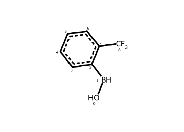 OBc1ccccc1C(F)(F)F